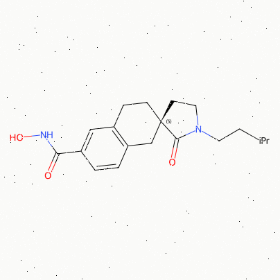 CC(C)CCN1CC[C@@]2(CCc3cc(C(=O)NO)ccc3C2)C1=O